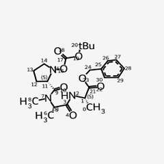 C[C@H](NC(=O)[C@H](C)N(C)C(=O)[C@@H]1CCCN1OC(=O)OC(C)(C)C)C(=O)OCc1ccccc1